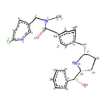 CN(Cc1ccc(Cl)nc1)C(=O)c1ccc(C[C@@H]2CC[C@H]([C@H](O)c3ccccc3)N2)cc1